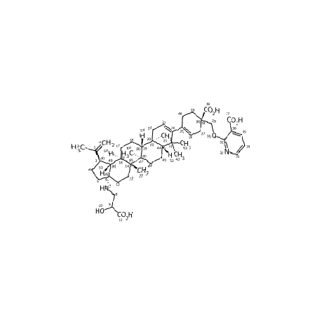 C=C(C)[C@@H]1CC[C@]2(NCC(O)C(=O)O)CC[C@]3(C)[C@H](CC[C@@H]4[C@@]5(C)CC=C(C6=CC[C@](COc7ncccc7C(=O)O)(C(=O)O)CC6)C(C)(C)[C@@H]5CC[C@]43C)[C@@H]12